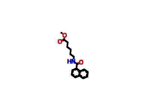 COC(=O)CCCCCNC(=O)c1cccc2ccccc12